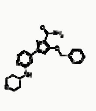 NC(=O)c1nn(-c2ccnc(NC3CCOCC3)c2)cc1OCc1ccccc1